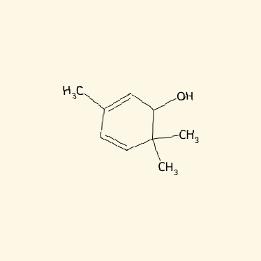 CC1=CC(O)C(C)(C)C=C1